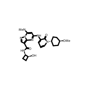 CNc1cc(Nc2cccn([C@H]3CC[C@H](OC)CC3)c2=O)nc2c(C(=O)N[C@@H]3CC[C@@H]3O)cnn12